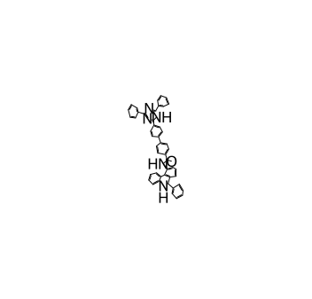 c1ccc(C2=NC(c3ccc(-c4ccc(C5Nc6c(ccc7c6-c6ccccc6NC7c6ccccc6)O5)cc4)cc3)NC(c3ccccc3)=N2)cc1